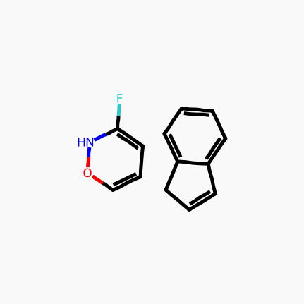 C1=Cc2ccccc2C1.FC1=CC=CON1